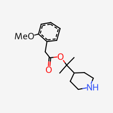 COc1ccccc1CC(=O)OC(C)(C)C1CCNCC1